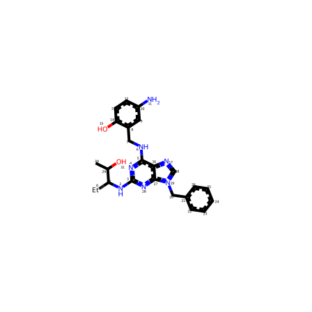 CCC(Nc1nc(NCc2cc(N)ccc2O)c2ncn(Cc3ccccc3)c2n1)C(C)O